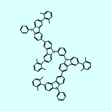 Cc1cccc(C)c1-c1ccc2c(c1)c1cc(-c3ccc4c(c3)c3cc(-c5c(C)cccc5C)ccc3n4-c3cccc(-n4c5ccc(-c6ccc7c(c6)c6cc(-c8c(C)cccc8C)ccc6n7-c6ccccc6)cc5c5cc(-c6c(C)cccc6C)ccc54)c3)ccc1n2-c1ccccc1